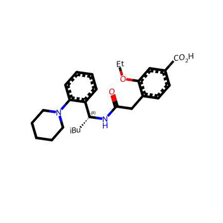 CCOc1cc(C(=O)O)ccc1CC(=O)N[C@@H](c1ccccc1N1CCCCC1)C(C)CC